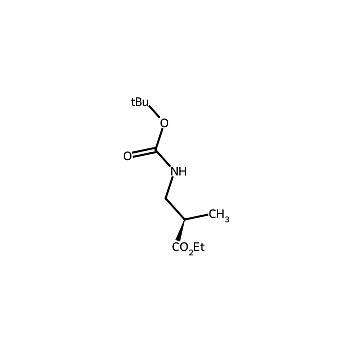 CCOC(=O)[C@H](C)CNC(=O)OC(C)(C)C